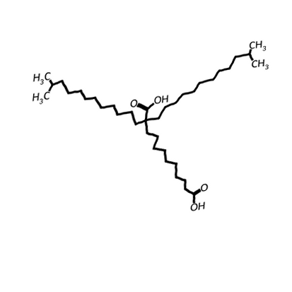 CC(C)CCCCCCCCCCC(CCCCCCCCCCC(C)C)(CCCCCCCCCC(=O)O)C(=O)O